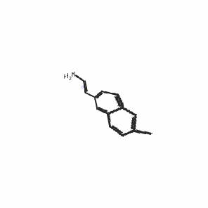 Cc1ccc2cc(/C=C/N)ccc2c1